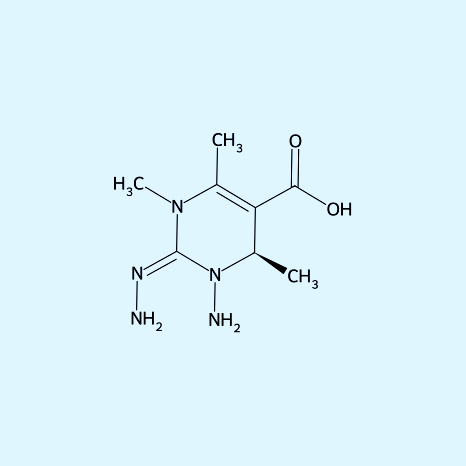 CC1=C(C(=O)O)[C@@H](C)N(N)/C(=N\N)N1C